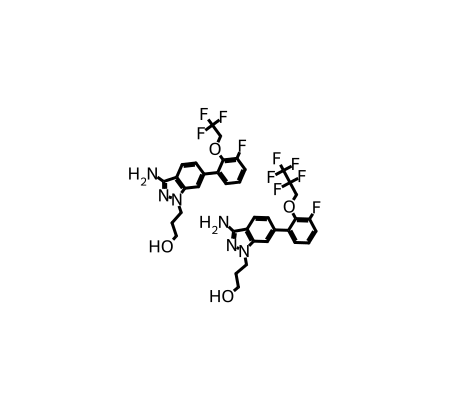 Nc1nn(CCCO)c2cc(-c3cccc(F)c3OCC(F)(F)C(F)(F)F)ccc12.Nc1nn(CCCO)c2cc(-c3cccc(F)c3OCC(F)(F)F)ccc12